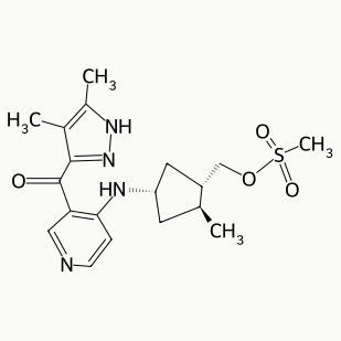 Cc1[nH]nc(C(=O)c2cnccc2N[C@@H]2C[C@H](COS(C)(=O)=O)[C@@H](C)C2)c1C